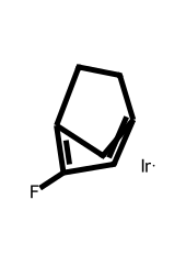 FC1=C2CCC(=C1)C2.[Ir]